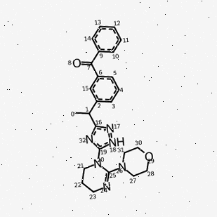 CC(c1cccc(C(=O)c2ccccc2)c1)c1n[nH]c(N2CCCN=C2N2CCOCC2)n1